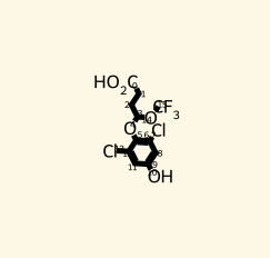 O=C(O)CCC(Oc1c(Cl)cc(O)cc1Cl)OC(F)(F)F